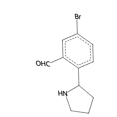 O=Cc1cc(Br)ccc1C1CCCN1